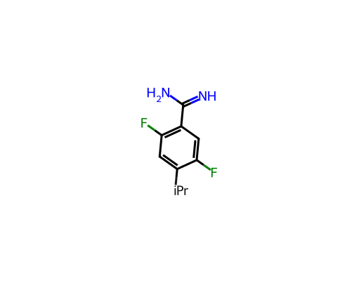 CC(C)c1cc(F)c(C(=N)N)cc1F